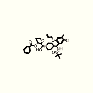 C=CCOc1cc(C)c(Cl)cc1[C@H](N[S@@+]([O-])C(C)(C)C)C1CCN(C(O)[C@@H]2OCC[C@@H]2OC(=O)c2ccccc2)CC1